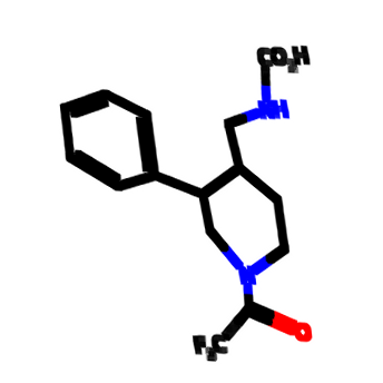 O=C(O)NCC1CCN(C(=O)C(F)(F)F)CC1c1ccccc1